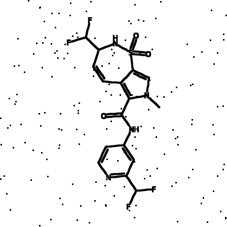 Cn1cc2c(c1C(=O)Nc1ccnc(C(F)F)c1)C=CC(C(F)F)NS2(=O)=O